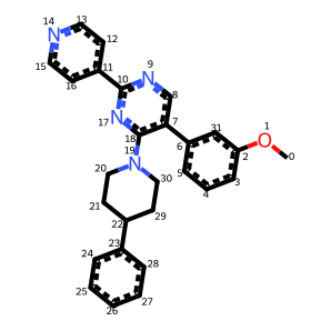 COc1cccc(-c2cnc(-c3ccncc3)nc2N2CCC(c3ccccc3)CC2)c1